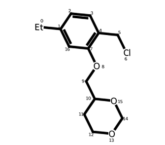 CCc1ccc(CCl)c(OCC2CCOCO2)c1